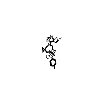 Cc1ccc(S(=O)(=O)N2CC3(CC3)CN(c3ncnc4[nH]ccc34)CC2C)cc1